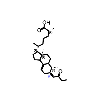 CCC(=O)/C=C1/CC=C2C(CC[C@@]3(C)C2CC[C@@H]3C(C)CCC[C@@H](C)C(=O)O)[C@@H]1C